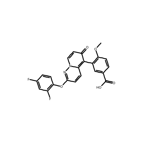 COc1ccc(C(=O)O)cc1-c1c(=O)ccn2nc(Oc3ccc(F)cc3F)ccc12